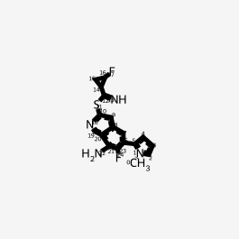 Cn1cccc1-c1cc2cc(SC(=N)C3CC3F)ncc2c(N)c1F